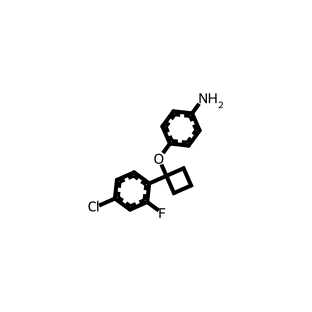 Nc1ccc(OC2(c3ccc(Cl)cc3F)CCC2)cc1